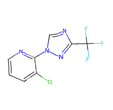 FC(F)(F)c1ncn(-c2ncccc2Cl)n1